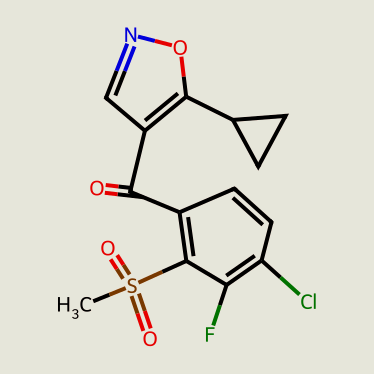 CS(=O)(=O)c1c(C(=O)c2cnoc2C2CC2)ccc(Cl)c1F